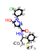 O=C(O)CC(NC(=O)c1cc(O)n(-c2cccc(Cl)c2)n1)c1ccccc1SC(F)(F)F